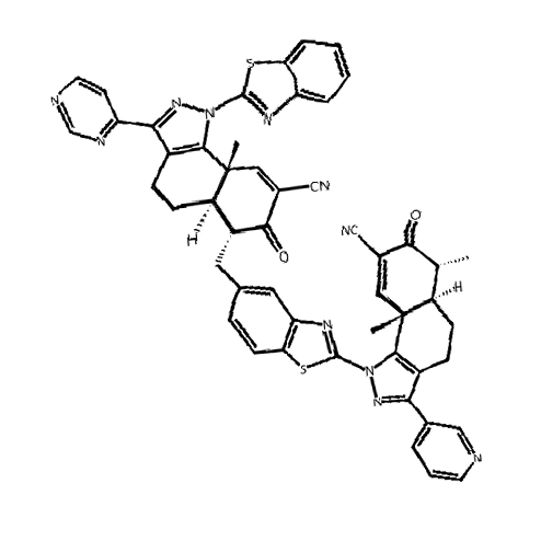 C[C@H]1C(=O)C(C#N)=C[C@@]2(C)c3c(c(-c4cccnc4)nn3-c3nc4cc(C[C@H]5C(=O)C(C#N)=C[C@@]6(C)c7c(c(-c8ccncn8)nn7-c7nc8ccccc8s7)CC[C@H]56)ccc4s3)CC[C@H]12